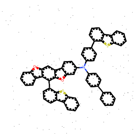 c1ccc(-c2ccc(N(c3ccc(-c4cccc5c4sc4ccccc45)cc3)c3ccc4c(c3)oc3c(-c5cccc6c5sc5ccccc56)c5c(cc34)oc3ccccc35)cc2)cc1